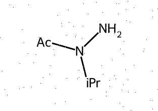 CC(=O)N(N)C(C)C